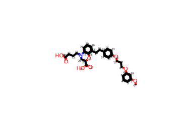 COc1cccc(OCCCOc2ccc(CCc3cccc4c3OC(C(=O)O)CN4CCCC(=O)O)cc2)c1